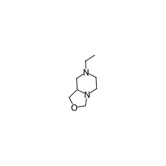 CCN1CCN2COCC2C1